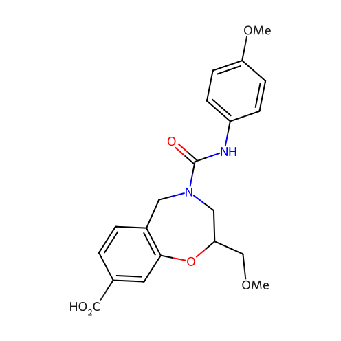 COCC1CN(C(=O)Nc2ccc(OC)cc2)Cc2ccc(C(=O)O)cc2O1